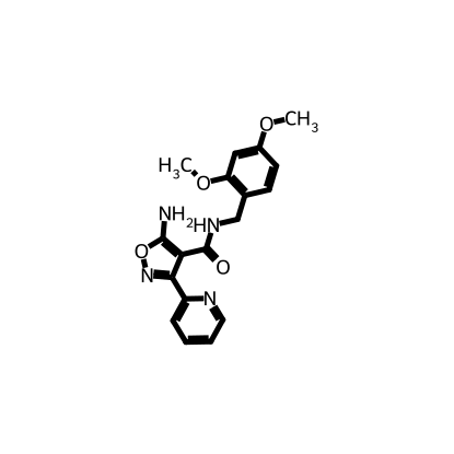 COc1ccc(CNC(=O)c2c(-c3ccccn3)noc2N)c(OC)c1